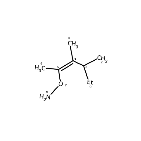 CCC(C)C(C)=C(C)ON